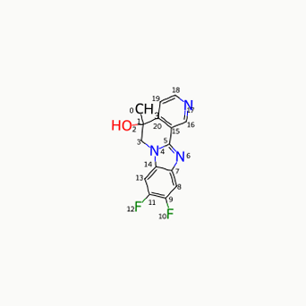 CC1(O)Cn2c(nc3cc(F)c(F)cc32)-c2cnccc21